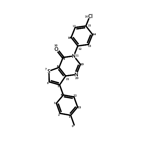 Cc1ccc(-c2csc3c(=O)n(-c4ccc(Cl)cc4)cnc23)cc1